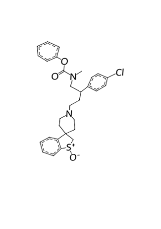 CN(CC(CCN1CCC2(CC1)C[S+]([O-])c1ccccc12)c1ccc(Cl)cc1)C(=O)Oc1ccccc1